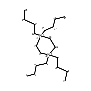 CCCC[N+]1(CCCC)CC[N+](CCCC)(CCCC)CC1